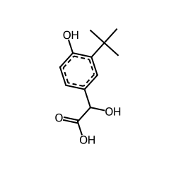 CC(C)(C)c1cc(C(O)C(=O)O)ccc1O